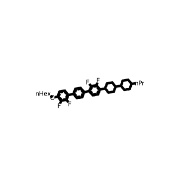 CCCCCCOc1ccc(-c2ccc(-c3ccc(C4CCC(C5CCC(CCC)CC5)CC4)c(F)c3F)cc2)c(F)c1F